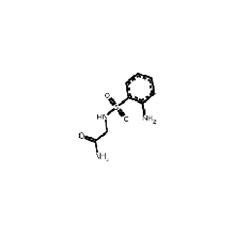 NC(=O)CNS(=O)(=O)c1ccccc1N